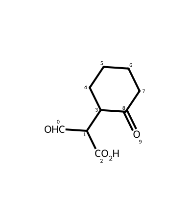 O=CC(C(=O)O)C1CCCCC1=O